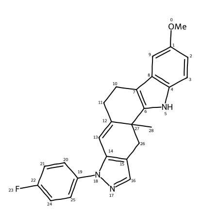 COc1ccc2[nH]c3c(c2c1)CCC1=Cc2c(cnn2-c2ccc(F)cc2)CC13C